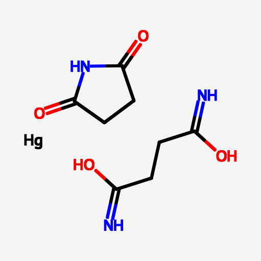 N=C(O)CCC(=N)O.O=C1CCC(=O)N1.[Hg]